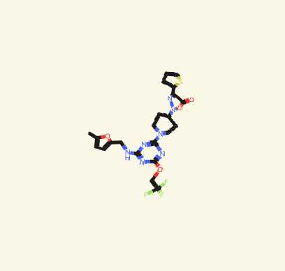 Cc1ccc(CNc2nc(OCC(F)(F)F)nc(N3CCC(n4nc(-c5cccs5)c(=O)o4)CC3)n2)o1